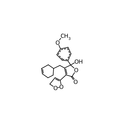 COc1ccc(C2(O)OC(=O)C(C3=CCOO3)=C2CC2CC=CCC2)cc1